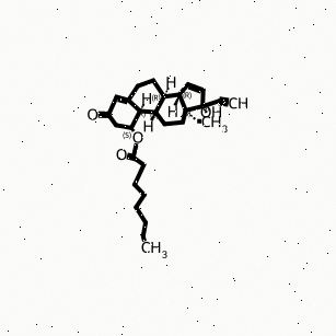 C#C[C@]1(O)C=C[C@H]2[C@@H]3CCC4=CC(=O)C[C@H](OC(=O)CCCCCCC)[C@@H]4[C@H]3CC[C@@]21CC